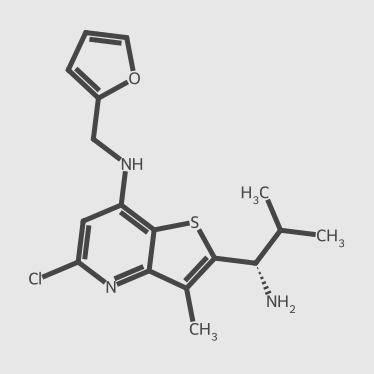 Cc1c([C@@H](N)C(C)C)sc2c(NCc3ccco3)cc(Cl)nc12